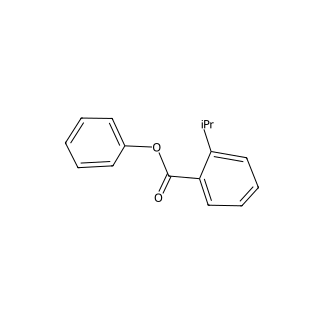 CC(C)c1ccccc1C(=O)Oc1ccccc1